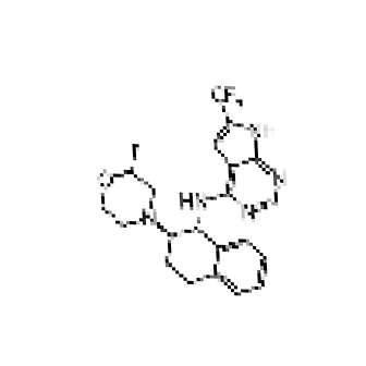 C[C@H]1CN([C@@H]2CCc3ccccc3[C@H]2Nc2ncnc3[nH]c(C(F)(F)F)cc23)CCO1